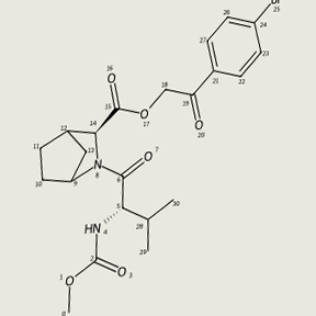 COC(=O)N[C@H](C(=O)N1C2CCC(C2)[C@H]1C(=O)OCC(=O)c1ccc(Br)cc1)C(C)C